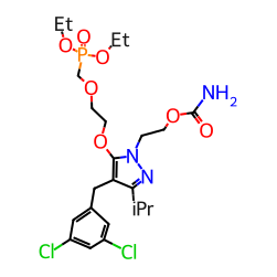 CCOP(=O)(COCCOc1c(Cc2cc(Cl)cc(Cl)c2)c(C(C)C)nn1CCOC(N)=O)OCC